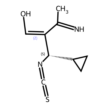 CC(=N)/C(=C\O)[C@@H](N=C=S)C1CC1